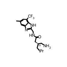 Cc1cc(C(F)(F)F)c2[nH]c(CNC(=O)C[C@@H](CN)CC(C)C)nc2c1